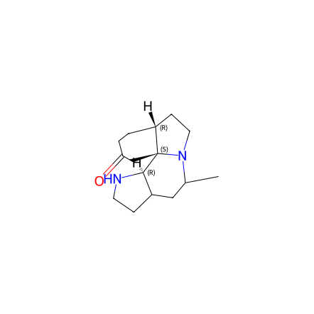 CC1CC2CCN[C@H]2[C@]23CC(=O)CC[C@@H]2CCN13